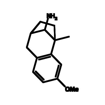 COc1ccc2c(c1)C1(C)CCC(C2)C1N